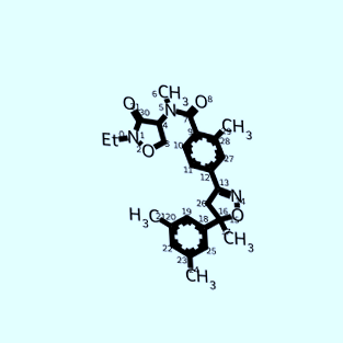 CCN1OCC(N(C)C(=O)c2ccc(C3=NOC(C)(c4cc(C)cc(C)c4)C3)cc2C)C1=O